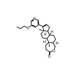 CCCOc1cncc(C2=CC[C@H]3[C@@H]4CC[C@H]5COC(=O)CC[C@]5(C)[C@H]4CC[C@]23C)c1